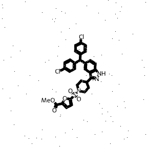 COC(=O)c1ccc(S(=O)(=O)N2CCC(c3n[nH]c4ccc(C(c5ccc(Cl)cc5)c5ccc(Cl)cc5)cc34)CC2)o1